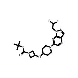 CC(C)(C)OC(=O)N1CC(OC2CCN(c3cnc4cnn(CC(F)F)c4n3)CC2)C1